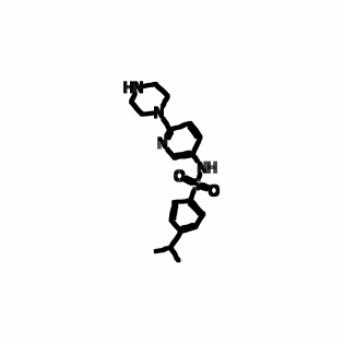 CC(C)c1ccc(S(=O)(=O)Nc2ccc(N3CCNCC3)nc2)cc1